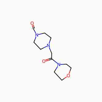 O=[C]N1CCN(CC(=O)N2CCOCC2)CC1